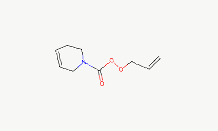 C=CCOOC(=O)N1CC=CCC1